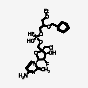 C=C1N=C(N)C=CN1[C@@H]1O[C@](CCl)(COP(O)(=P)OCC(COCC)OCc2ccccc2)[C@@H](O)[C@H]1F